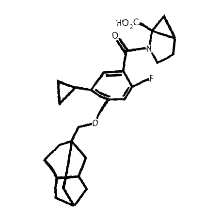 O=C(c1cc(C2CC2)c(OCC23CCC4CC(CC4C2)C3)cc1F)N1CCC2CC21C(=O)O